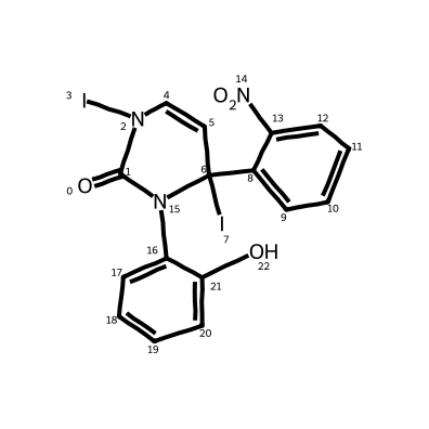 O=C1N(I)C=CC(I)(c2ccccc2[N+](=O)[O-])N1c1ccccc1O